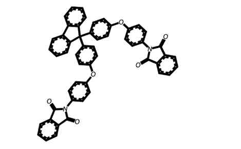 O=C1c2ccccc2C(=O)N1c1ccc(Oc2ccc(C3(c4ccc(Oc5ccc(N6C(=O)c7ccccc7C6=O)cc5)cc4)c4ccccc4-c4ccccc43)cc2)cc1